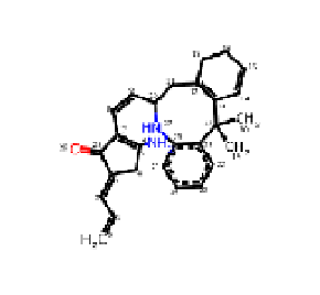 C=C/C=C1\CC(N)=C(/C=C\C2CC3=C(C=CCC3)C(C)(C)c3ccccc3N2)C1=O